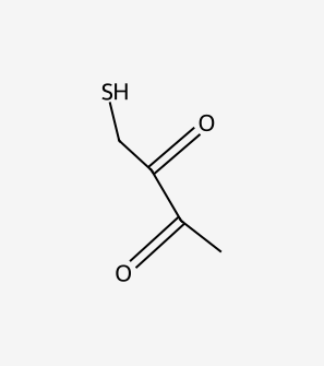 CC(=O)C(=O)CS